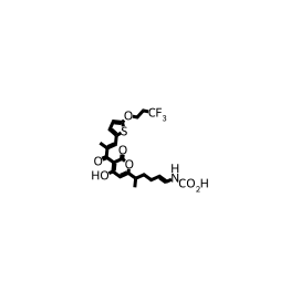 CC(=Cc1ccc(OCCC(F)(F)F)s1)C(=O)c1c(O)cc(C(C)CCC=CNC(=O)O)oc1=O